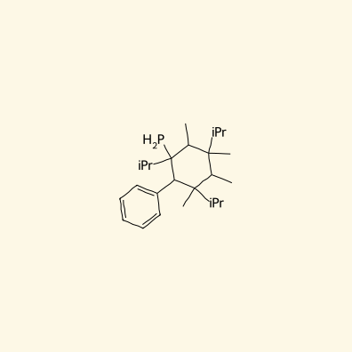 CC(C)C1(C)C(C)C(C)(C(C)C)C(c2ccccc2)C(P)(C(C)C)C1C